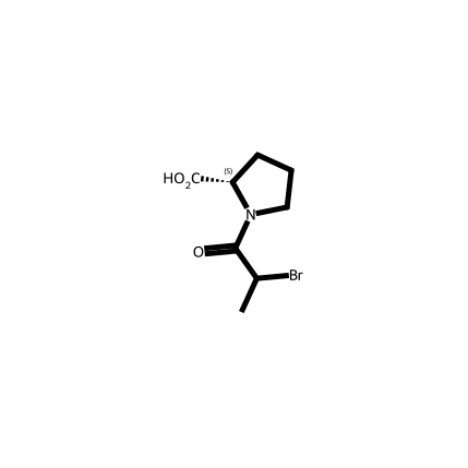 CC(Br)C(=O)N1CCC[C@H]1C(=O)O